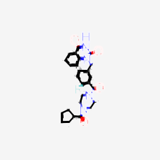 O=C(c1cc(Cn2c(=O)[nH]c(=O)c3ccccc32)ccc1F)N1CCN(C(=O)C2CCCC2)CC1